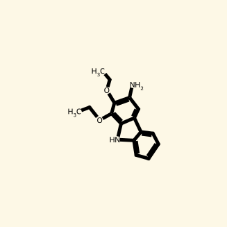 CCOc1c(N)cc2c([nH]c3ccccc32)c1OCC